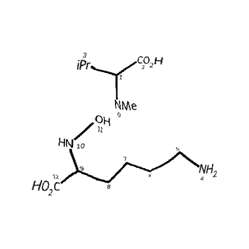 CNC(C(=O)O)C(C)C.NCCCCC(NO)C(=O)O